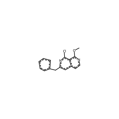 COc1nccc2cc(Cc3ccccc3)nc(Cl)c12